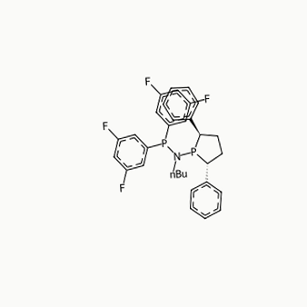 CCCCN(P(c1cc(F)cc(F)c1)c1cc(F)cc(F)c1)P1[C@@H](c2ccccc2)CC[C@@H]1c1ccccc1